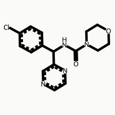 O=C(NC(c1ccc(Cl)cc1)c1cnccn1)N1CCOCC1